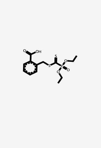 CCOP(=O)(OCC)C(=S)SCc1ccccc1C(=O)O